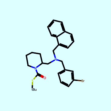 CC(C)(C)SC(=O)N1CCCCC1CN(Cc1cccc(Br)c1)Cc1cccc2ccccc12